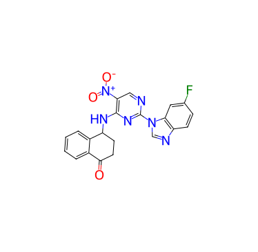 O=C1CCC(Nc2nc(-n3cnc4ccc(F)cc43)ncc2[N+](=O)[O-])c2ccccc21